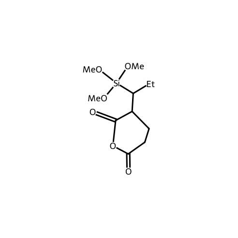 CCC(C1CCC(=O)OC1=O)[Si](OC)(OC)OC